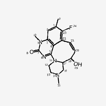 Cc1cc2c3c(nc(=O)n2C)N2CCN(C)CC2C(O)/C=C\c3c1F